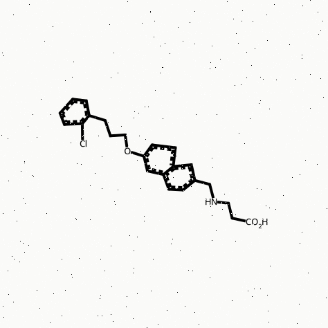 O=C(O)CCNCc1ccc2cc(OCCCc3ccccc3Cl)ccc2c1